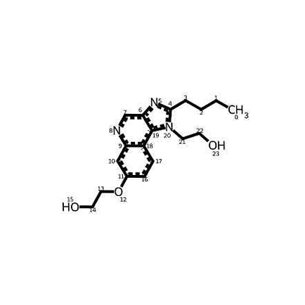 CCCCc1nc2cnc3cc(OCCO)ccc3c2n1CCO